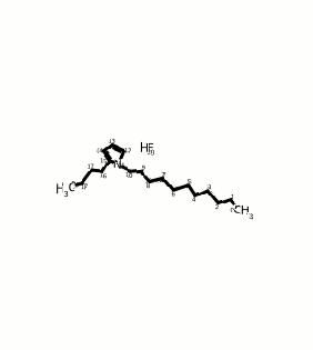 CCCCCCCCCCCn1cccc1CCCC.F